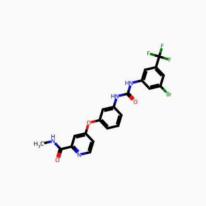 CNC(=O)c1cc(Oc2cccc(NC(=O)Nc3cc(Br)cc(C(F)(F)F)c3)c2)ccn1